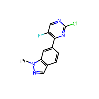 CC(C)n1ncc2ccc(-c3nc(Cl)ncc3F)cc21